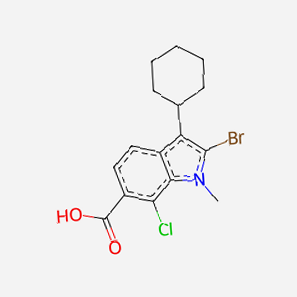 Cn1c(Br)c(C2CCCCC2)c2ccc(C(=O)O)c(Cl)c21